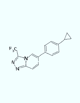 FC(F)(F)c1nnc2ccc(-c3ccc(C4CC4)cc3)cn12